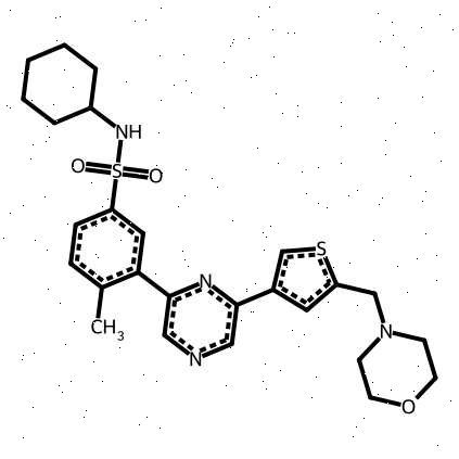 Cc1ccc(S(=O)(=O)NC2CCCCC2)cc1-c1cncc(-c2csc(CN3CCOCC3)c2)n1